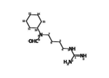 N=C(N)NCCCCN([C]=O)C1CCCCC1